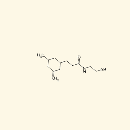 C=C1CC(C)CC(CCC(=O)NCCS)C1